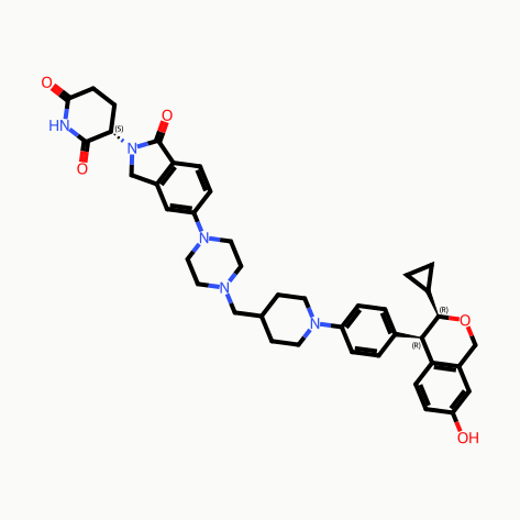 O=C1CC[C@H](N2Cc3cc(N4CCN(CC5CCN(c6ccc([C@@H]7c8ccc(O)cc8CO[C@@H]7C7CC7)cc6)CC5)CC4)ccc3C2=O)C(=O)N1